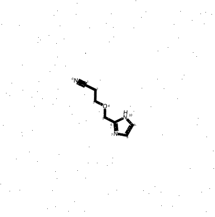 N#CCCOCc1ncc[nH]1